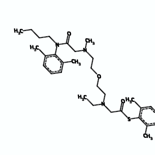 CCCCN(C(=O)CN(C)CCOCCN(CC)CC(=O)Sc1c(C)cccc1C)c1c(C)cccc1C